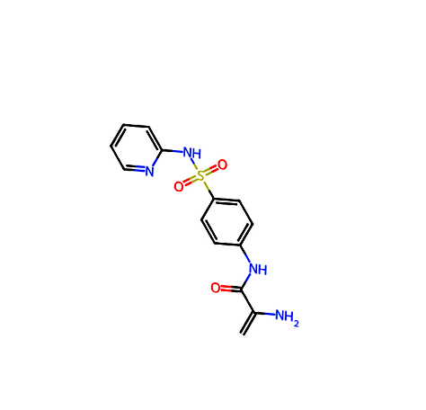 C=C(N)C(=O)Nc1ccc(S(=O)(=O)Nc2ccccn2)cc1